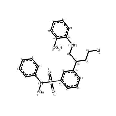 CCCCN(c1ccccc1)S(=O)(=O)c1cccc(C(CCCl)CNc2ccccc2C(=O)O)c1